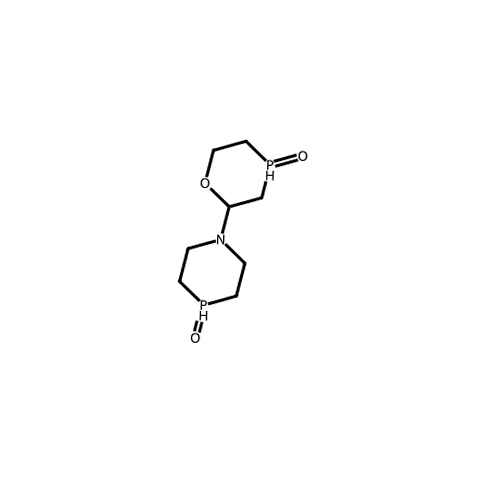 O=[PH]1CCN(C2C[PH](=O)CCO2)CC1